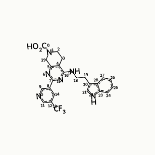 O=C(O)N1CCc2c(nc(-c3cncc(C(F)(F)F)c3)nc2NCCc2c[nH]c3ccccc23)C1